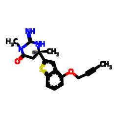 CC#CCOc1cccc2sc([C@]3(C)CC(=O)N(C)C(=N)N3)cc12